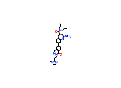 CCCN(CCC)C(=O)C1=Cc2ccc(-c3ccc4c(=O)n(CCc5nccn5C)ncc4c3)cc2N=C(N)C1